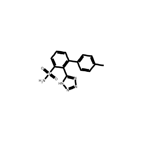 Cc1ccc(-c2cccc(S(N)(=O)=O)c2-c2nnn[nH]2)cc1